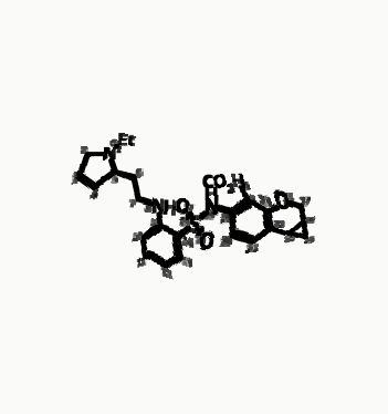 CCN1CCC[C@@H]1CCNc1ccccc1S(=O)(=O)Nc1ccc2c(c1C(=O)O)OCC1CC21